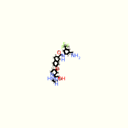 NCc1cc(NC(=O)C2CCc3ccc(Oc4ccnc(C5(CO)NC=CN5)c4)cc3C2)cc(C(F)(F)F)c1